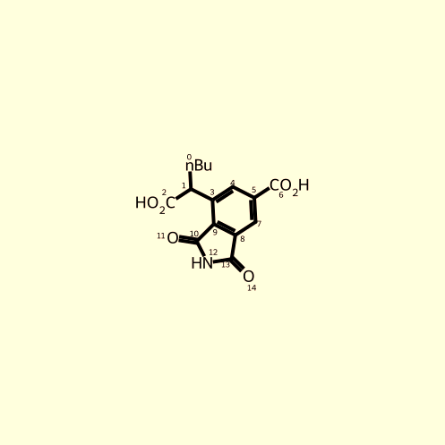 CCCCC(C(=O)O)c1cc(C(=O)O)cc2c1C(=O)NC2=O